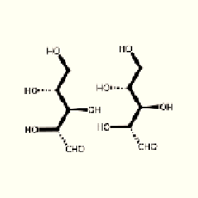 O=C[C@H](O)[C@H](O)[C@H](O)CO.O=C[C@H](O)[C@H](O)[C@H](O)CO